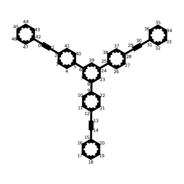 C(#Cc1ccc(-c2cc(-c3ccc(C#Cc4ccccc4)cc3)cc(-c3ccc(C#Cc4ccccc4)cc3)c2)cc1)c1ccccc1